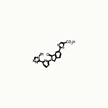 CC(C)n1cnnc1-c1cccc(N2Cc3ccc(-c4ncc(C(=O)O)s4)cc3C2=O)n1